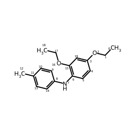 CCOc1ccc(Nc2ccc(C)cc2)c(OCC)c1